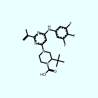 C=C(C)c1nc(Nc2cc(F)c(F)c(F)c2)cc(N2CCN(C(=O)O)C(C(C)(C)C)C2)n1